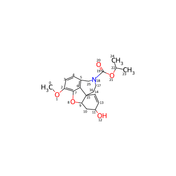 COc1ccc2c3c1OC1CC(O)C=CC31CCN(C(=O)OC(C)C)C2